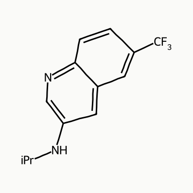 CC(C)Nc1cnc2ccc(C(F)(F)F)cc2c1